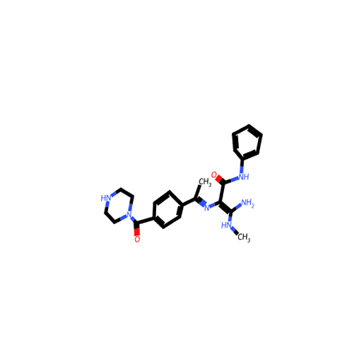 CN/C(N)=C(\N=C(/C)c1ccc(C(=O)N2CCNCC2)cc1)C(=O)Nc1ccccc1